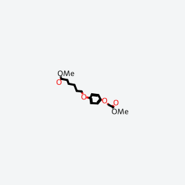 COC(=O)CCCCCOc1ccc(OCC(=O)OC)cc1